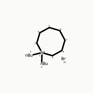 CCCC[N+]1(CCCC)CCCCCCC1.[Br-]